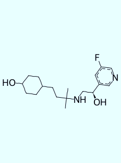 CC(C)(CCC1CCC(O)CC1)NC[C@H](O)c1cncc(F)c1